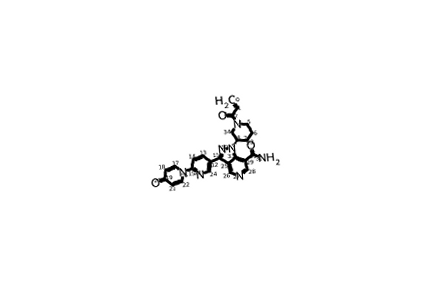 C=CC(=O)N1CCC[C@@H](n2nc(-c3ccc(-n4ccc(=O)cc4)nc3)c3cncc(C(N)=O)c32)C1